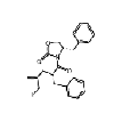 C=C(CI)CC(Cc1ccccc1)C(=O)N1C(=O)OC[C@@H]1Cc1ccccc1